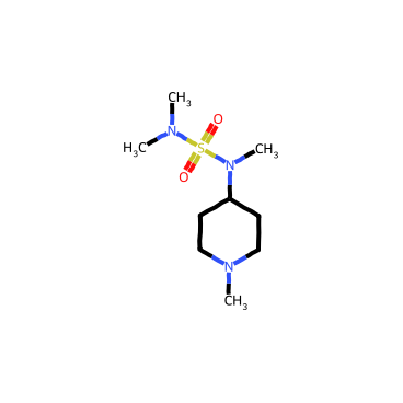 CN1CCC(N(C)S(=O)(=O)N(C)C)CC1